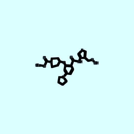 CC(C)(C)OC(=O)N1CCC(Oc2cc(N3CCCC3)ccc2C(=O)Nc2cscc2COO)CC1